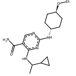 CCO[C@H]1CC[C@H](Nc2ncc(C(N)=O)c(NC(C)C3CC3)n2)CC1